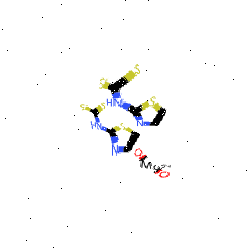 S=C([S-])Nc1nccs1.S=C([S-])Nc1nccs1.[O]=[Mo+2]=[O]